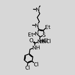 CCC1=C(N(C)CCCN(C)C)N(CC)C(NC(=O)NCc2ccc(Cl)c(Cl)c2)S1.Cl.Cl